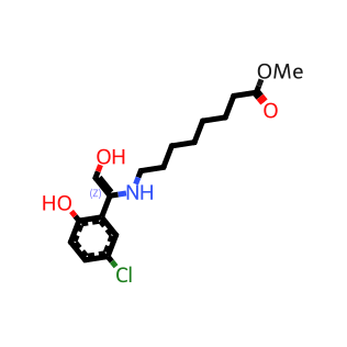 COC(=O)CCCCCCCN/C(=C\O)c1cc(Cl)ccc1O